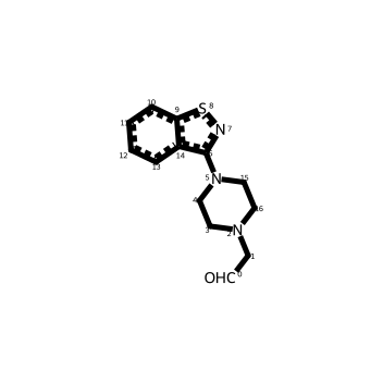 O=CCN1CCN(c2nsc3ccccc23)CC1